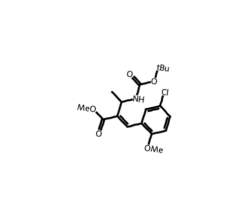 COC(=O)/C(=C/c1cc(Cl)ccc1OC)C(C)NC(=O)OC(C)(C)C